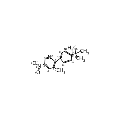 Cc1cc([N+](=O)[O-])cnc1-c1ccc(C(C)(C)C)cc1